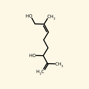 C=C(C)C(O)CCC=C(C)CO